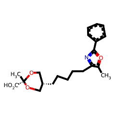 Cc1oc(-c2ccccc2)nc1CCCCC[C@H]1CO[C@@](C)(C(=O)O)OC1